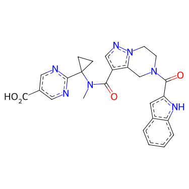 CN(C(=O)c1cnn2c1CN(C(=O)c1cc3ccccc3[nH]1)CC2)C1(c2ncc(C(=O)O)cn2)CC1